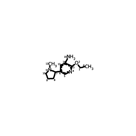 CCOc1ncc(C2CCCN2C)cc1N